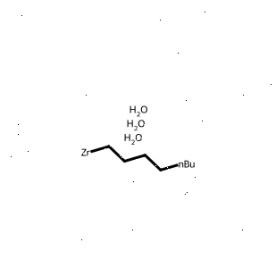 CCCCCCC[CH2][Zr].O.O.O